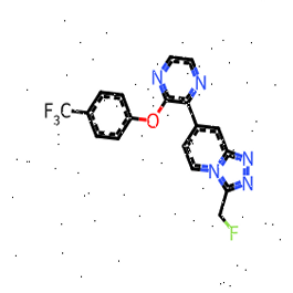 FCc1nnc2cc(-c3nccnc3Oc3ccc(C(F)(F)F)cc3)ccn12